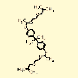 C=C(C)COCCOC(C)Oc1ccc(C(C)(C)c2ccc(OC(C)OCCOCC(=C)C)cc2)cc1